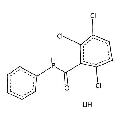 O=C(Pc1ccccc1)c1c(Cl)ccc(Cl)c1Cl.[LiH]